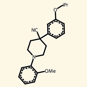 COc1ccccc1N1CCC(C#N)(c2cccc(OC(C)C)c2)CC1